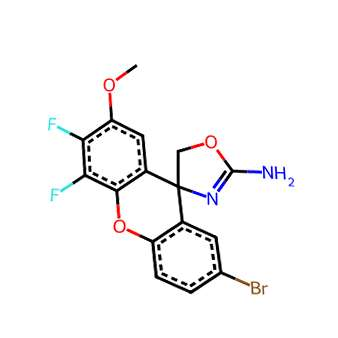 COc1cc2c(c(F)c1F)Oc1ccc(Br)cc1C21COC(N)=N1